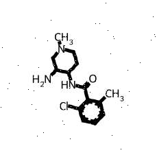 Cc1cccc(Cl)c1C(=O)NC1CCN(C)CC1N